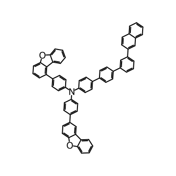 c1cc(-c2ccc(-c3ccc(N(c4ccc(-c5ccc6oc7ccccc7c6c5)cc4)c4ccc(-c5cccc6oc7ccccc7c56)cc4)cc3)cc2)cc(-c2ccc3ccccc3c2)c1